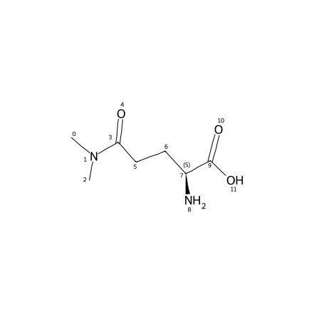 CN(C)C(=O)CC[C@H](N)C(=O)O